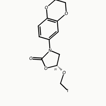 O=C1O[C@@H](OCI)CN1c1ccc2c(c1)OCCO2